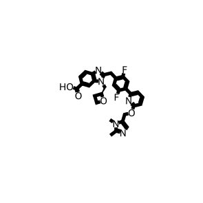 Cc1ncc(COc2cccc(-c3cc(F)c(Cc4nc5ccc(C(=O)O)cc5n4C[C@@H]4CCO4)cc3F)n2)n1C